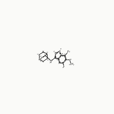 COc1c(F)cc2c(NC3CN4CCC3CC4)noc2c1F